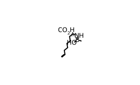 C=CCCCCC[C@H](NB(C)O)C(=O)O